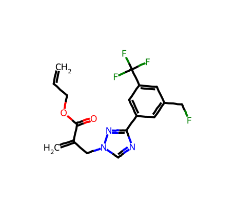 C=CCOC(=O)C(=C)Cn1cnc(-c2cc(CF)cc(C(F)(F)F)c2)n1